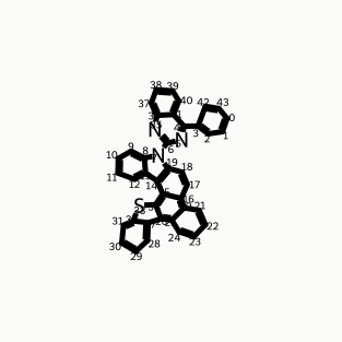 c1ccc(-c2nc(-n3c4ccccc4c4c5c(ccc43)c3ccccc3c3c4ccccc4sc35)nc3ccccc23)cc1